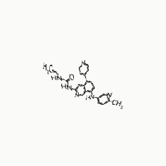 CCNC(=O)Nc1cc2c(-c3ccncc3)ccc(Nc3ccc(C)nc3)c2cn1